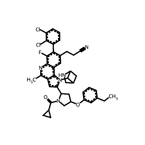 CCc1cccc(OC2CC(c3cc4c(C)nc5c(F)c(-c6cccc(Cl)c6Cl)c(CCC#N)cc5c4n3C3C4CNC3C4)N(C(=O)C3CC3)C2)c1